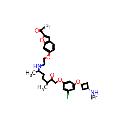 CC(CCC(C)C(=O)COc1cc(F)cc(O[C@H]2C[C@@H](NC(C)C)C2)c1)NCCOc1ccc2cc(C(=O)C(C)C)oc2c1